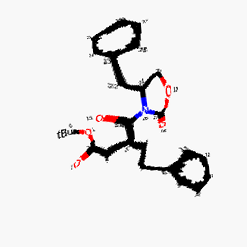 CC(C)(C)OC(=O)CC(CCc1ccccc1)C(=O)N1C(=O)OCC1Cc1ccccc1